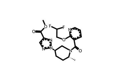 COC(=O)c1cnn([C@@H]2CC[C@@H](C)N(C(=O)c3cccnc3OCC(F)F)C2)n1